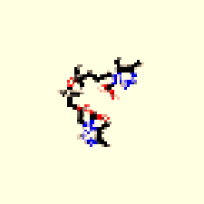 CC1=C(C)[N+](CCC[Si](C)(C)O[Si](C)(C)CCC[N+]2(C(=O)O)N=NC(C)=C2C)(C(=O)O)N=N1